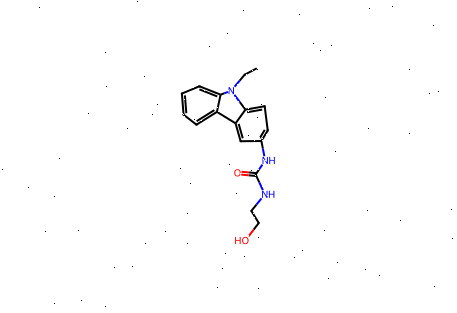 CCn1c2ccccc2c2cc(NC(=O)NCCO)ccc21